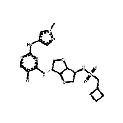 Cn1cc(Nc2ncc(Cl)c(N[C@@H]3COC4C3OC[C@@H]4NS(=O)(=O)CC3CCC3)n2)cn1